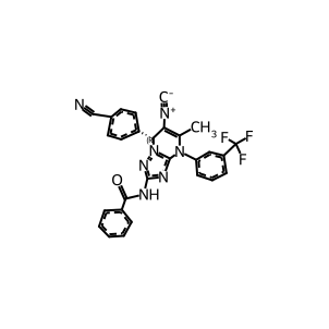 [C-]#[N+]C1=C(C)N(c2cccc(C(F)(F)F)c2)c2nc(NC(=O)c3ccccc3)nn2[C@@H]1c1ccc(C#N)cc1